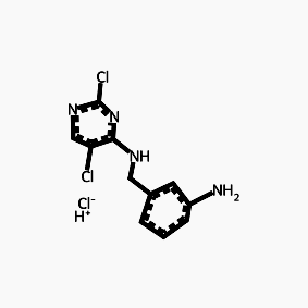 Nc1cccc(CNc2nc(Cl)ncc2Cl)c1.[Cl-].[H+]